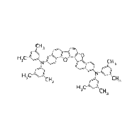 Cc1cc(C)cc(N(c2cc(C)cc(C)c2)c2ccc3c(ccc4c5ccc6oc7c8ccc(N(c9cc(C)cc(C)c9)c9cc(C)cc(C)c9)cc8ccc7c6c5oc34)c2)c1